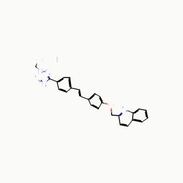 O=C(O)Cn1nnc(-c2ccc(/C=C/c3ccc(OCc4ccc5ccccc5n4)cc3)cc2)n1